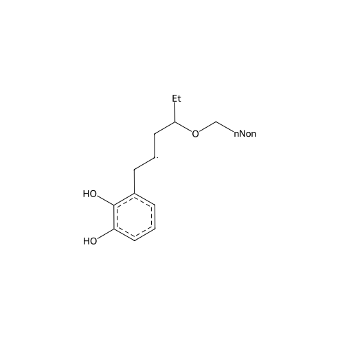 CCCCCCCCCCOC(CC)C[CH]Cc1cccc(O)c1O